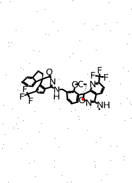 CNC1=NC(=O)[C@]2(CCOc3c(CNC4=NC(=O)[C@]5(CCc6ccccc65)c5cc(C(F)(F)F)ccc54)cccc32)c2nc(C(F)(F)F)ccc21